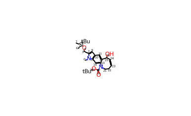 Cn1c(CO[Si](C)(C)C(C)(C)C)cc2cc3c(cc21)N(C(=O)OC(C)(C)C)CCC=CC3O